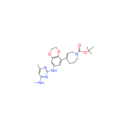 CNc1cc(C)nc(Nc2cc3c(c(C4=CCN(C(=O)OC(C)(C)C)CCC4)c2)OCCO3)n1